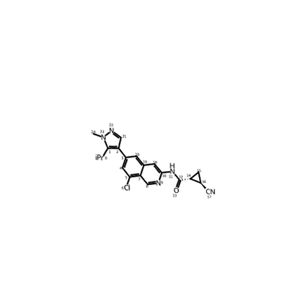 CC(C)c1c(-c2cc(Cl)c3cnc(NC(=O)[C@@H]4C[C@H]4C#N)cc3c2)cnn1C